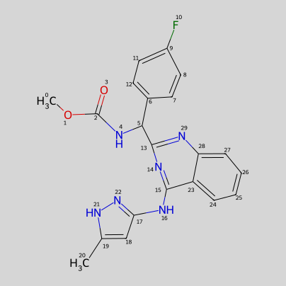 COC(=O)NC(c1ccc(F)cc1)c1nc(Nc2cc(C)[nH]n2)c2ccccc2n1